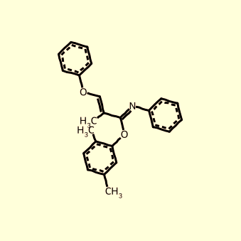 CC(=C\Oc1ccccc1)/C(=N/c1ccccc1)Oc1cc(C)ccc1C